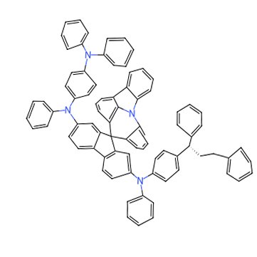 c1ccc(CC[C@@H](c2ccccc2)c2ccc(N(c3ccccc3)c3ccc4c(c3)C3(c5cc(N(c6ccccc6)c6ccc(N(c7ccccc7)c7ccccc7)cc6)ccc5-4)c4ccccc4-n4c5ccccc5c5cccc3c54)cc2)cc1